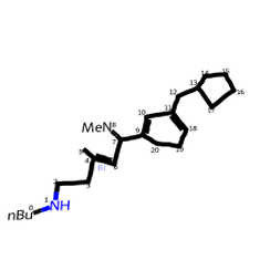 CCCCNCC/C(C)=C/C(NC)C1=CC(CC2CCCC2)=CCC1